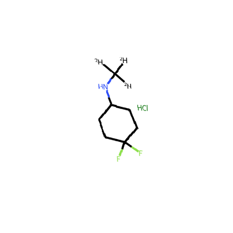 Cl.[2H]C([2H])([2H])NC1CCC(F)(F)CC1